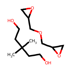 C(OCC1CO1)C1CO1.CC(C)(CCO)CCO